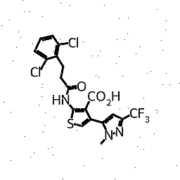 Cn1nc(C(F)(F)F)cc1-c1csc(NC(=O)CCc2c(Cl)cccc2Cl)c1C(=O)O